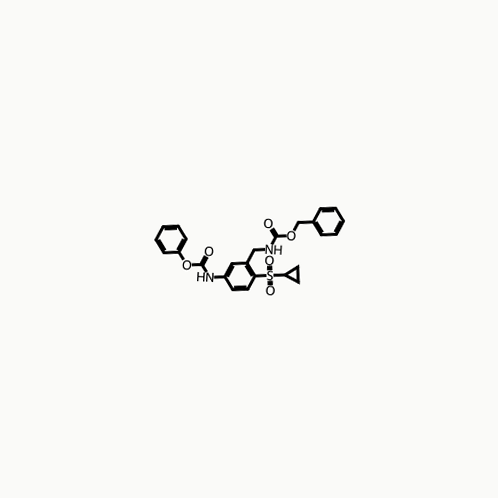 O=C(NCc1cc(NC(=O)Oc2ccccc2)ccc1S(=O)(=O)C1CC1)OCc1ccccc1